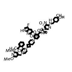 C=C(C)c1ccccc1[C@@H]1CN(Cc2cc(OC)nc(OC)c2)CCN1C1CC2(CCN(c3ccc(C(=O)NS(=O)(=O)c4cnc(NCC5CCC(C)(O)CC5)c([N+](=O)[O-])c4)c(Oc4cc5c(F)c[nH]c5nc4OC)c3)CC2)C1